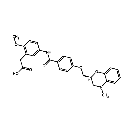 COc1ccc(NC(=O)c2ccc(OC[C@@H]3CN(C)c4ccccc4O3)cc2)cc1CC(=O)O